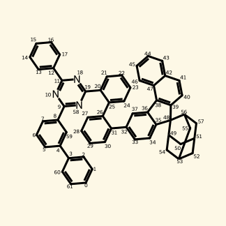 c1ccc(-c2cccc(-c3nc(-c4ccccc4)nc(-c4ccccc4-c4ccccc4-c4ccc5c(c4)-c4c(ccc6ccccc46)C54C5CC6CC(C5)CC4C6)n3)c2)cc1